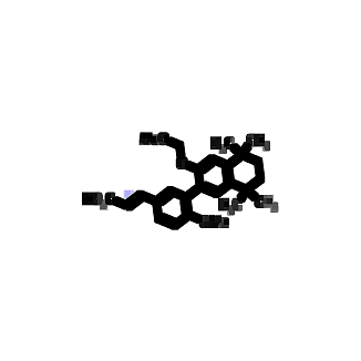 COCOc1cc2c(cc1-c1cc(/C=C/C(=O)O)ccc1OC)C(C)(C)CCC2(C)C